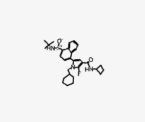 CC(C)(C)N[S+]([O-])c1ccc(-c2cc(C(=O)NC3CCC3)c(F)n2CC2CCCCC2)c2ccccc12